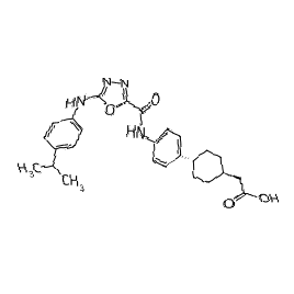 CC(C)c1ccc(Nc2nnc(C(=O)Nc3ccc([C@H]4CC[C@H](CC(=O)O)CC4)cc3)o2)cc1